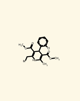 COC(=O)C1=C(C)NC(CBr)=C(C(=O)OC)C1c1ccccc1Cl